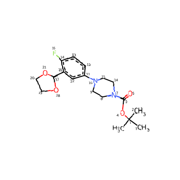 CC(C)(C)OC(=O)N1CCN(c2ccc(F)c(C3OCCO3)c2)CC1